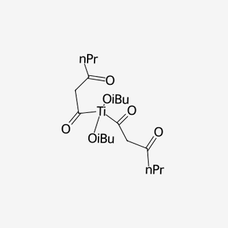 CCCC(=O)C[C](=O)[Ti]([O]CC(C)C)([O]CC(C)C)[C](=O)CC(=O)CCC